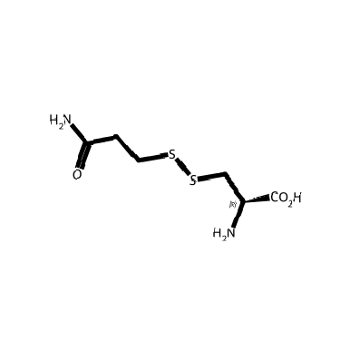 NC(=O)CCSSC[C@H](N)C(=O)O